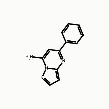 Nc1cc(-c2ccccc2)nc2ccnn12